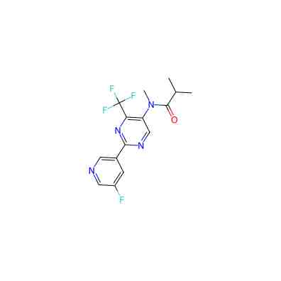 CC(C)C(=O)N(C)c1cnc(-c2cncc(F)c2)nc1C(F)(F)F